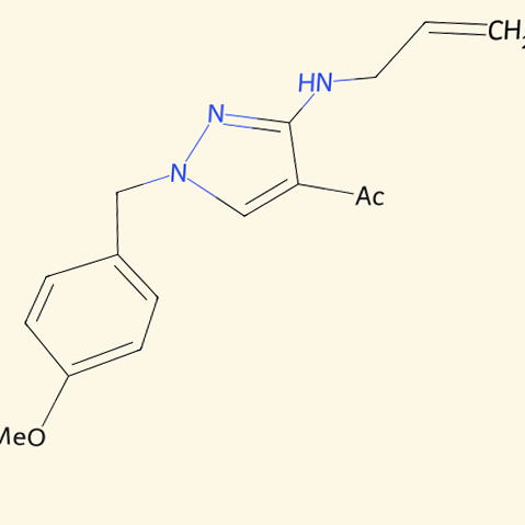 C=CCNc1nn(Cc2ccc(OC)cc2)cc1C(C)=O